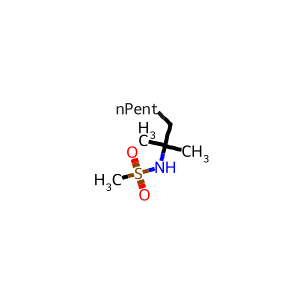 CCCCCCC(C)(C)NS(C)(=O)=O